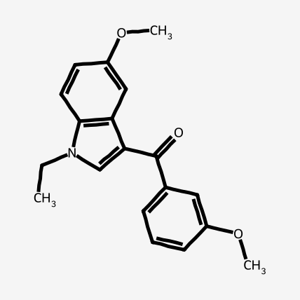 CCn1cc(C(=O)c2cccc(OC)c2)c2cc(OC)ccc21